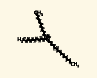 CCCCCCCCCCCCCCCCN1C=CN(CCCCCCCCCCCC)C1CCCCCCCCCC